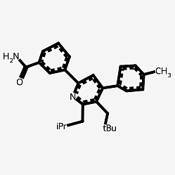 Cc1ccc(-c2cc(-c3cccc(C(N)=O)c3)nc(CC(C)C)c2CC(C)(C)C)cc1